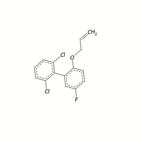 C=CCOc1ccc(F)cc1-c1c(Cl)cccc1Cl